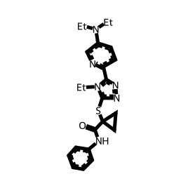 CCN(CC)c1ccc(-c2nnc(SC3(C(=O)Nc4ccccc4)CC3)n2CC)nc1